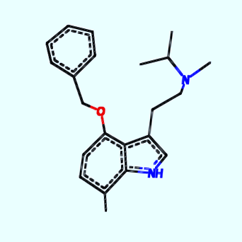 Cc1ccc(OCc2ccccc2)c2c(CCN(C)C(C)C)c[nH]c12